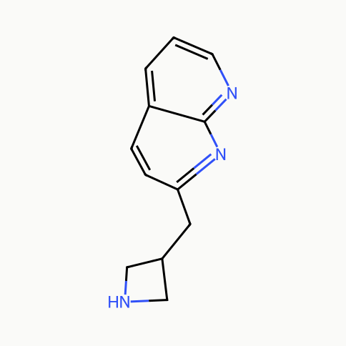 c1cnc2nc(CC3CNC3)ccc2c1